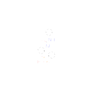 O=C(Nc1ccccc1)Nc1ccccc1-c1ccccc1S(=O)(=O)O